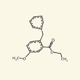 CCOC(=O)c1cc(OC)ccc1Cc1ccccc1